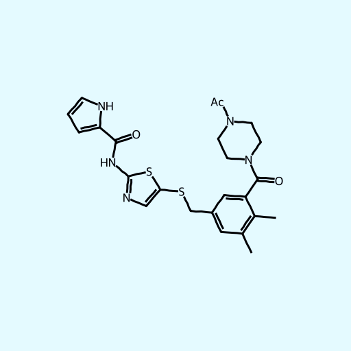 CC(=O)N1CCN(C(=O)c2cc(CSc3cnc(NC(=O)c4ccc[nH]4)s3)cc(C)c2C)CC1